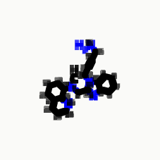 CN(Cc1nc2ccccc2n1CC#CCN)C1CCCc2cccnc21